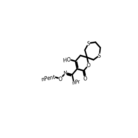 CCCCCO/N=C(\CCC)C1=C(O)CC2(CSCCSC2)OC1=O